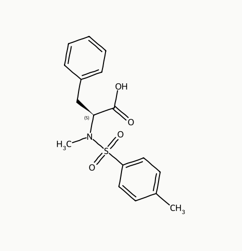 Cc1ccc(S(=O)(=O)N(C)[C@@H](Cc2ccccc2)C(=O)O)cc1